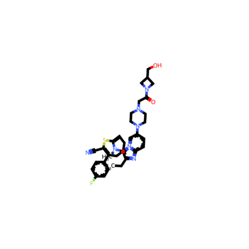 CCc1nc2ccc(N3CCN(CC(=O)N4CC(CO)C4)CC3)cn2c1N(C)/C1=C\CCC/C(c2ccc(F)cc2)=C(/C#N)S1